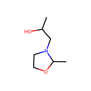 CC(O)CN1CCOC1C